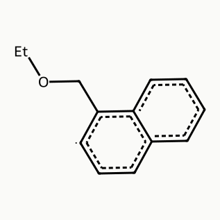 CCOCc1[c]ccc2ccccc12